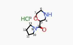 Cl.O=C(C1CNCCO1)N1CCCC1